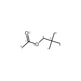 [CH2]C(=O)OCC(C)(C)C